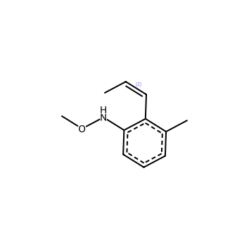 C/C=C\c1c(C)cccc1NOC